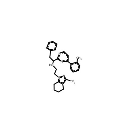 Cc1ccccc1-c1ccnc(C(Cc2ccccc2)NCCn2nc(C(F)(F)F)c3c2CCCC3)n1